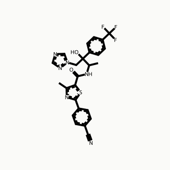 Cc1nc(-c2ccc(C#N)cc2)sc1C(=O)NC(C)C(O)(Cn1cncn1)c1ccc(C(F)(F)F)cc1